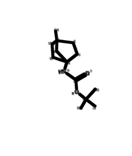 [CH2]C12CCC(NC(=O)OC(C)(C)C)(CC1)C2